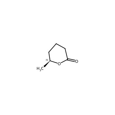 C[C@H]1CCCC(=O)O1